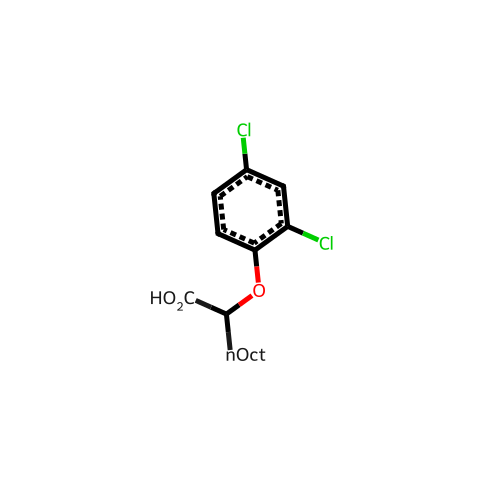 CCCCCCCCC(Oc1ccc(Cl)cc1Cl)C(=O)O